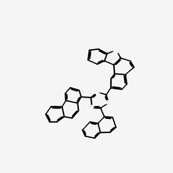 c1ccc2c(-c3nc(-c4ccc5ccc6oc7ccccc7c6c5c4)nc(-c4cccc5c4ccc4ccccc45)n3)cccc2c1